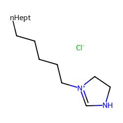 CCCCCCCCCCCC[N+]1=CNCC1.[Cl-]